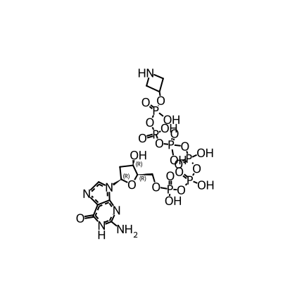 Nc1nc2c(ncn2[C@H]2C[C@@H](O)[C@@H](COP(=O)(O)OP(=O)(O)OP(=O)(O)OP(=O)(O)OP(=O)(O)OP(=O)(O)OC3CNC3)O2)c(=O)[nH]1